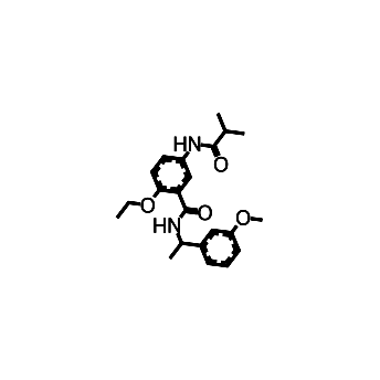 CCOc1ccc(NC(=O)C(C)C)cc1C(=O)NC(C)c1cccc(OC)c1